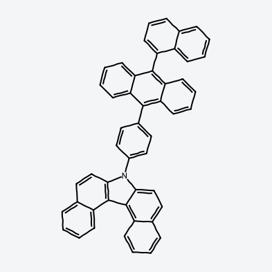 c1ccc2c(-c3c4ccccc4c(-c4ccc(-n5c6ccc7ccccc7c6c6c7ccccc7ccc65)cc4)c4ccccc34)cccc2c1